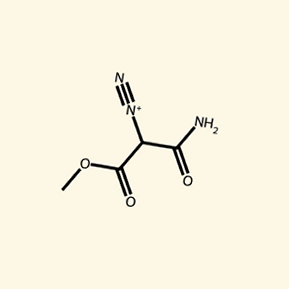 COC(=O)C([N+]#N)C(N)=O